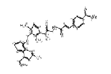 CNC(=O)c1ccc(C=CC(=O)NCC(=O)N(C)c2ccc(C)c(COc3cccc4c(COC)cc(C)nc34)c2C)cc1